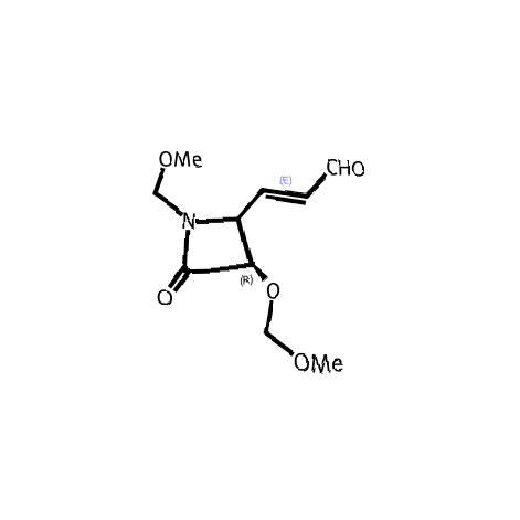 COCO[C@H]1C(=O)N(COC)C1/C=C/C=O